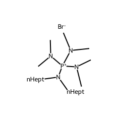 CCCCCCCN(CCCCCCC)[P+](N(C)C)(N(C)C)N(C)C.[Br-]